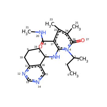 CCC(C)n1c(NC2CCCc3ncncc32)c(C(=O)NC)c(C)c(C)c1=O